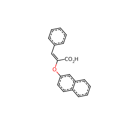 O=C(O)/C(=C\c1ccccc1)Oc1ccc2ccccc2c1